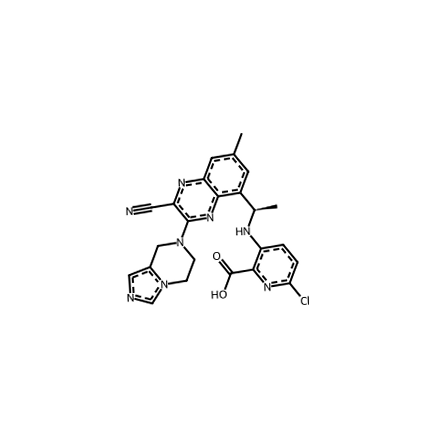 Cc1cc([C@@H](C)Nc2ccc(Cl)nc2C(=O)O)c2nc(N3CCn4cncc4C3)c(C#N)nc2c1